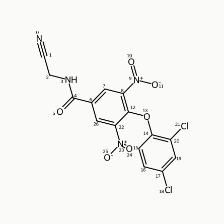 N#CCNC(=O)c1cc([N+](=O)[O-])c(Oc2ccc(Cl)cc2Cl)c([N+](=O)[O-])c1